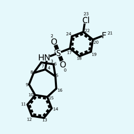 O=S(=O)(NC1C2CCC1Cc1ccccc1C2)c1ccc(F)c(Cl)c1